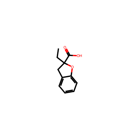 CCC1(C(=O)O)Cc2ccccc2O1